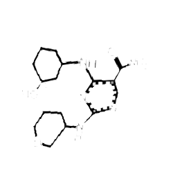 NC(=O)c1cnc(NC2CCCOC2)nc1NC1CCC[C@H](O)C1